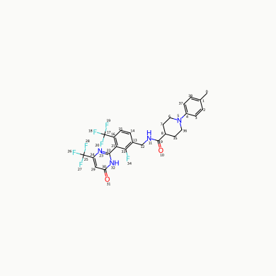 Cc1ccc(N2CCC(C(=O)NCc3ccc(C(F)(F)F)c(-c4nc(C(F)(F)F)cc(=O)[nH]4)c3F)CC2)cc1